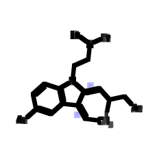 C/C=c1\c(=C/C(I)CC(C)=O)n(CCN(CC)CC)c2ccc(C(C)=O)cc12